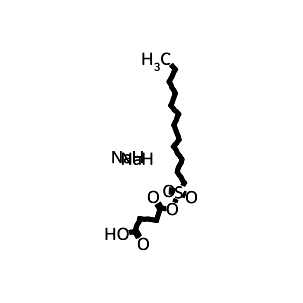 CCCCCCCCCCCCS(=O)(=O)OC(=O)CCC(=O)O.[NaH].[NaH]